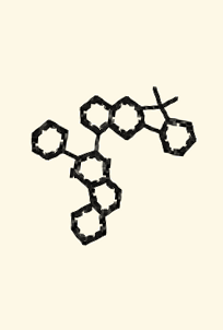 CC1(C)c2ccccc2-c2cc3c(-c4nc5ccc6ccccc6c5nc4-c4ccccc4)cccc3cc21